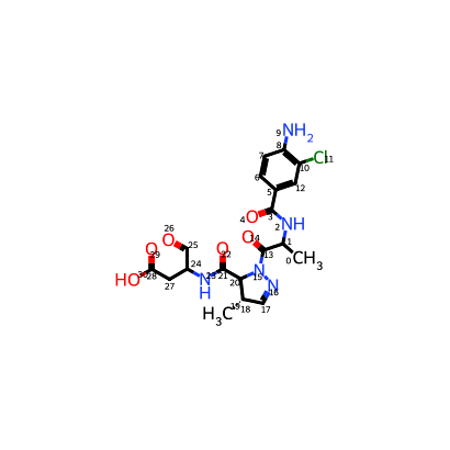 CC(NC(=O)c1ccc(N)c(Cl)c1)C(=O)N1N=C[C@H](C)C1C(=O)NC(C=O)CC(=O)O